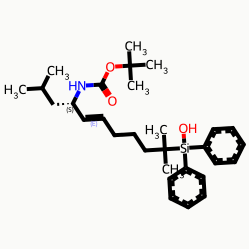 CC(C)C[C@@H](/C=C/CCCC(C)(C)[Si](O)(c1ccccc1)c1ccccc1)NC(=O)OC(C)(C)C